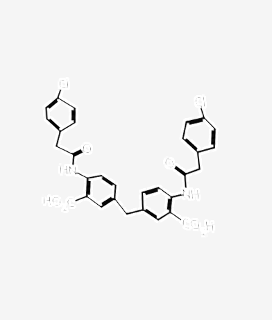 O=C(Cc1ccc(Cl)cc1)Nc1ccc(Cc2ccc(NC(=O)Cc3ccc(Cl)cc3)c(C(=O)O)c2)cc1C(=O)O